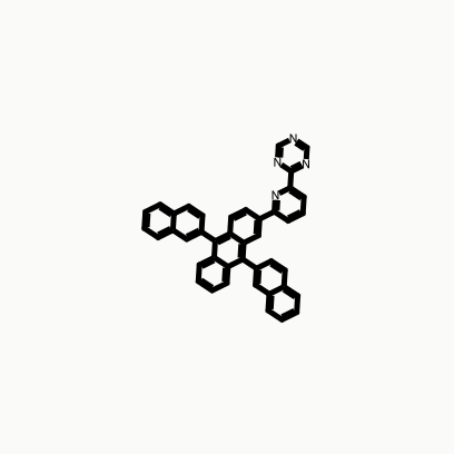 c1cc(-c2ccc3c(-c4ccc5ccccc5c4)c4ccccc4c(-c4ccc5ccccc5c4)c3c2)nc(-c2ncncn2)c1